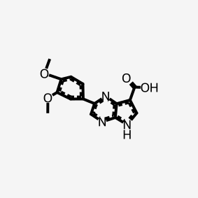 COc1ccc(-c2cnc3[nH]cc(C(=O)O)c3n2)cc1OC